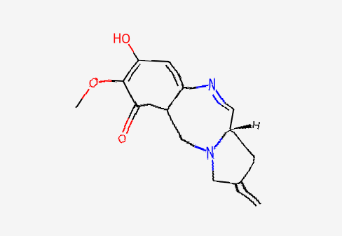 C=C1C[C@H]2C=NC3=CC(O)=C(OC)C(=O)C3CN2C1